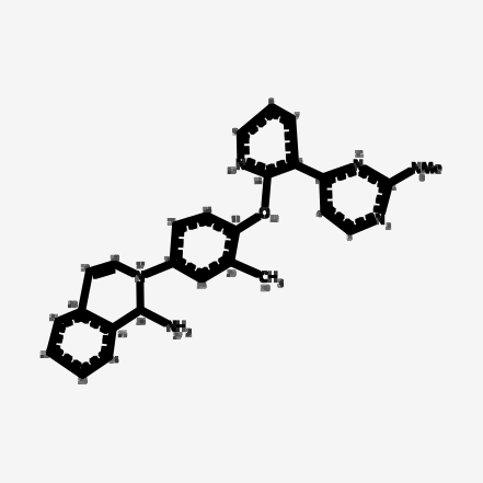 CNc1nccc(-c2cccnc2Oc2ccc(N3C=Cc4ccccc4C3N)cc2C)n1